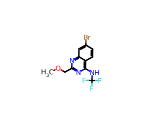 COCc1nc(NC(F)(F)F)c2ccc(Br)cc2n1